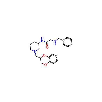 O=C(CNCc1ccccc1)NC1CCCN(CC2COc3ccccc3O2)C1